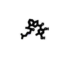 Cc1cc(C(=O)N2Cc3cccc(N(C)C(=O)/C=C/CN(C)C)c3C2)c(O)cc1O